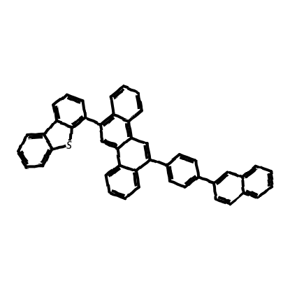 c1ccc2cc(-c3ccc(-c4cc5c6ccccc6c(-c6cccc7c6sc6ccccc67)cc5c5ccccc45)cc3)ccc2c1